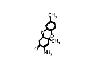 Cc1ccc2c(c1)N=C1CC(=O)C(N)=CC1(C)O2